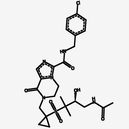 CC(=O)NC[C@H](O)C(C)(C)S(=O)(=O)C1(CN2CCn3c(cnc3C(=O)NCc3ccc(Cl)cc3)C2=O)CC1